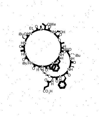 C=C1NC(=O)[C@H]([C@@H](C)CC)NC(=O)[C@@H]2CSSC[C@H](NC(=O)CCC(=O)O)C(=O)N[C@H](Cc3ccccc3)C(=O)N[C@H](C)C(=O)N[C@@H](C[C@@H](C)CC)C(=O)N[C@@H](C(=O)N[C@H](Cc3ccccc3)C(=O)N3CCC[C@H]3C(=O)N2)C(C)OC(=O)[C@H](CO)NC(=O)[C@H]([C@@H](C)OC)N(C)C(=O)[C@@H](CC)NC(=O)[C@H](C[C@H](C)CC)NC1=O